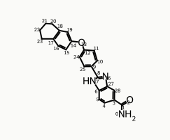 NC(=O)c1ccc2[nH]c(-c3ccc(Oc4ccc5c(c4)CCCC5)cc3)nc2c1